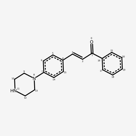 O=C(C=Cc1ccc(N2CCNCC2)cc1)c1ccccc1